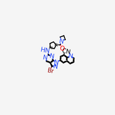 N#Cc1cc(-n2nc(Br)c3cnc(N[C@@H]4CC[C@@H](C(=O)N5CCC5)C4)nc32)cc2cccnc12